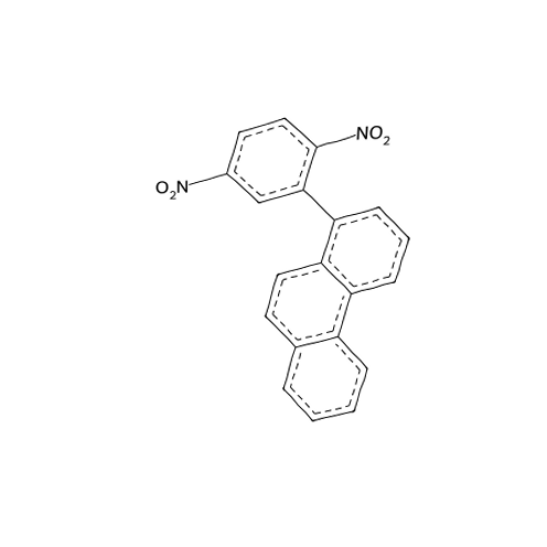 O=[N+]([O-])c1ccc([N+](=O)[O-])c(-c2cccc3c2ccc2ccccc23)c1